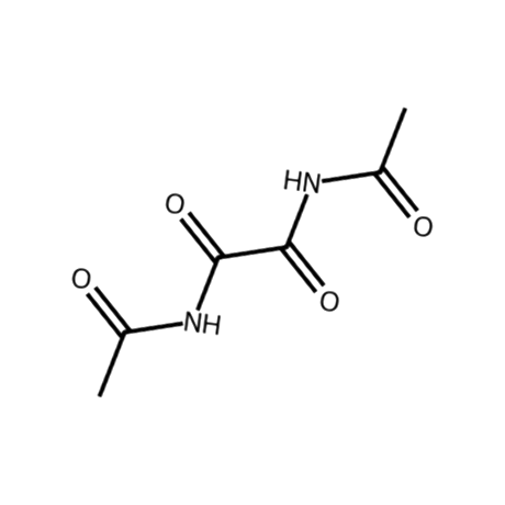 CC(=O)NC(=O)C(=O)NC(C)=O